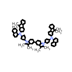 Cc1c(C)n(-c2ccc(N(c3ccc4c(c3)C(C)(C)c3ccccc3-4)c3cccc4ccccc34)cc2)c2ccc(-c3ccc4c(c3)c(C)c(C)n4-c3ccc(N(c4ccc5c(c4)C(C)(C)c4ccccc4-5)c4cccc5ccccc45)cc3)cc12